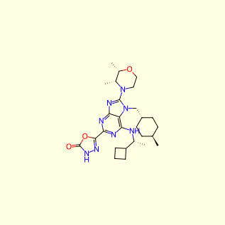 C[C@@H]1OCCN(c2nc3nc(-c4n[nH]c(=O)o4)nc(N[C@H](C)C4CCC4)c3n2C[C@H]2CC[C@H](C)CC2)[C@@H]1C